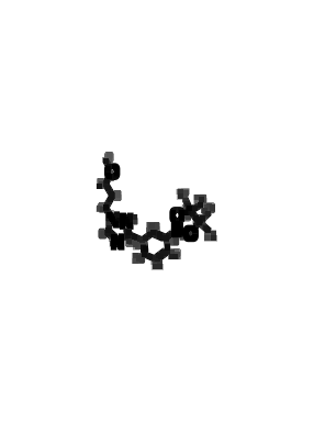 COCCCn1cnc(-c2cccc(B3OC(C)(C)C(C)(C)O3)c2)n1